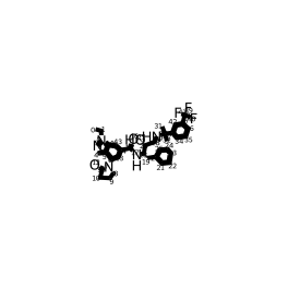 CCn1ncc2c(N3CCCC3=O)cc(C(=O)N[C@@H](Cc3ccccc3)[C@H](O)CNC(C)(C)c3cccc(C(F)(F)F)c3)cc21